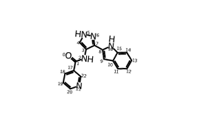 O=C(Nc1c[nH]nc1-c1cc2ccccc2[nH]1)c1cccnc1